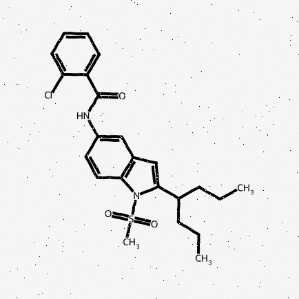 CCCC(CCC)c1cc2cc(NC(=O)c3ccccc3Cl)ccc2n1S(C)(=O)=O